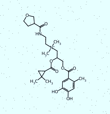 Cc1cc(O)c(O)cc1C(=O)OCC(C[N+](C)(C)CCNC(=O)C1CCOC1)OC(=O)C1CC1(C)C